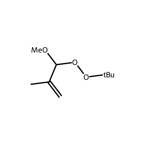 C=C(C)C(OC)OOC(C)(C)C